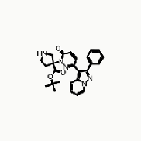 CC(C)(C)OC(=O)[C@]1(n2nc(-c3c(-c4ccccc4)nn4ccccc34)ccc2=O)CCNC1